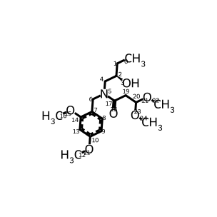 CC[C@@H](O)CN(Cc1ccc(OC)cc1OC)C(=O)CC(OC)OC